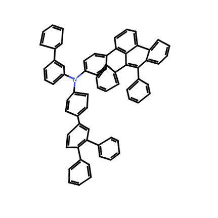 c1ccc(-c2cccc(N(c3ccc(-c4ccc(-c5ccccc5)c(-c5ccccc5)c4)cc3)c3ccc(-c4cccc5c4c(-c4ccccc4)c(-c4ccccc4)c4ccccc45)cc3)c2)cc1